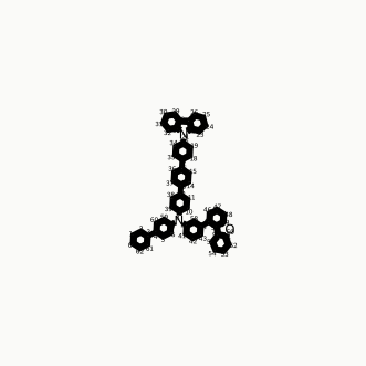 c1ccc(-c2ccc(N(c3ccc(-c4ccc(-c5ccc(-n6c7ccccc7c7ccccc76)cc5)cc4)cc3)c3cccc(-c4cccc5oc6ccccc6c45)c3)cc2)cc1